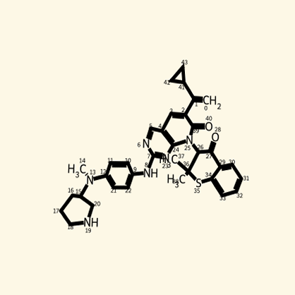 C=C(c1cc2cnc(Nc3ccc(N(C)C4CCCNC4)cc3)nc2n(C2C(=O)c3ccccc3SC2(C)C)c1=O)C1CC1